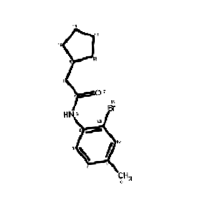 Cc1ccc(NC(=O)CC2CCCC2)c(Br)c1